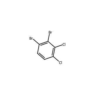 Clc1ccc(Br)c(Br)c1Cl